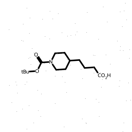 CC(C)(C)OC(=O)N1CCC(CCCC(=O)O)CC1